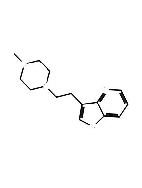 CN1CCN(CCc2c[nH]c3cccnc23)CC1